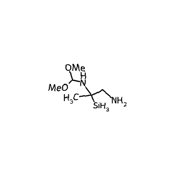 COC(NC(C)([SiH3])CN)OC